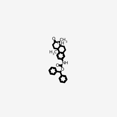 CN1C(=O)CC[C@]2(C)c3ccc(NC(=O)OC(c4ccccc4)c4ccccc4)cc3CC[C@@H]12